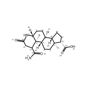 C[C@]12CC[C@H]3[C@@H](CC[C@H]4NC(=O)CC(C(N)=O)[C@@]43C)[C@@H]1CC[C@@H]2C(=O)O